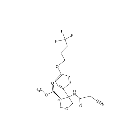 COC(=O)[C@@H]1COCC1(NC(=O)CC#N)c1ccc(OCCCC(F)(F)F)cc1